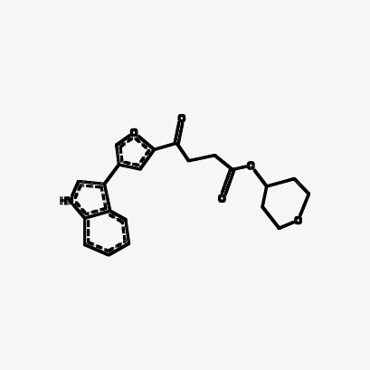 O=C(CCC(=O)c1cc(-c2c[nH]c3ccccc23)co1)OC1CCOCC1